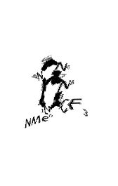 CNn1cc2ncnc-2nc1C(F)(F)F